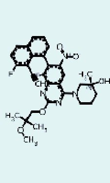 C#Cc1c(F)ccc2cccc(-c3c([N+](=O)[O-])cc4c(N5CCC[C@@](C)(O)C5)nc(OCC(C)(C)OC)nc4c3F)c12